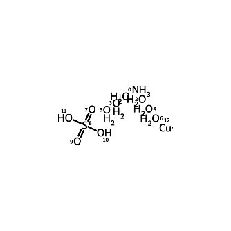 N.O.O.O.O.O.O.O=S(=O)(O)O.[Cu]